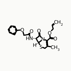 C=CCOC(=O)C1=C(C)CS[C@H]2[C@H](NC(=O)COc3ccccc3)C(=O)N12